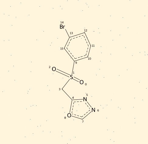 O=S(=O)(Cc1nnco1)c1cccc(Br)c1